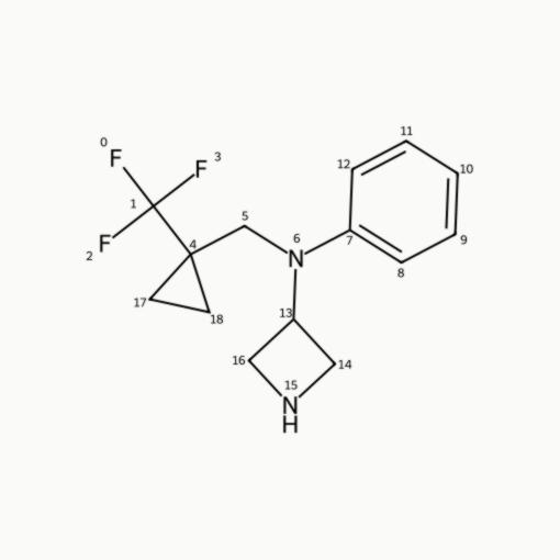 FC(F)(F)C1(CN(c2ccccc2)C2CNC2)CC1